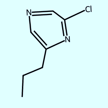 CCCc1cncc(Cl)n1